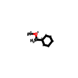 CC(C)O[SiH2]C1CCCCC1